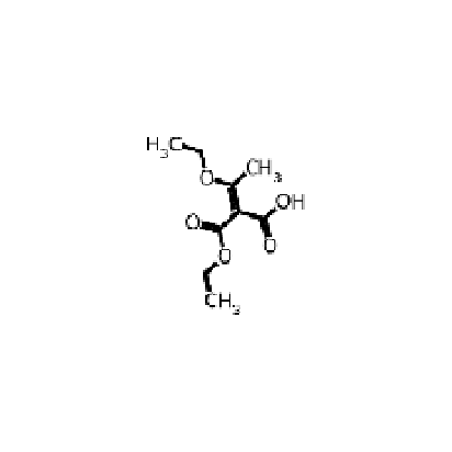 CCOC(=O)C(C(=O)O)=C(C)OCC